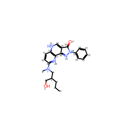 CCCC(CO)CN(C)c1ccc2[nH]cc3c(=O)n(-c4ccccc4)nc-3c2n1